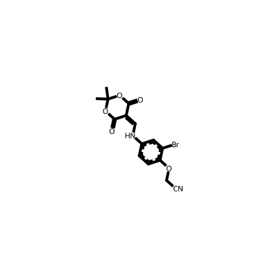 CC1(C)OC(=O)C(=CNc2ccc(OCC#N)c(Br)c2)C(=O)O1